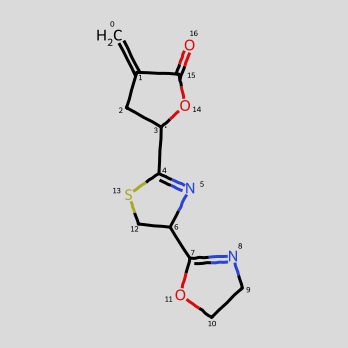 C=C1C[C](C2=NC(C3=NCCO3)CS2)OC1=O